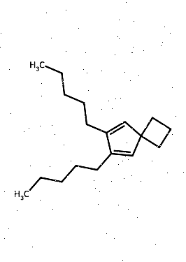 CCCCCC1=CC2(C=C1CCCCC)CCC2